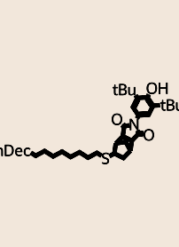 CCCCCCCCCCCCCCCCCCSC1CC2CC1C1C(=O)N(c3cc(C(C)(C)C)c(O)c(C(C)(C)C)c3)C(=O)C21